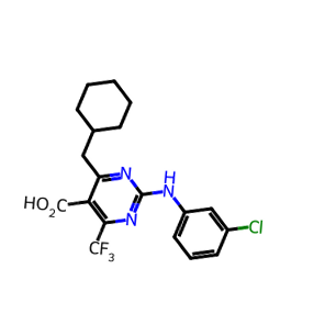 O=C(O)c1c(CC2CCCCC2)nc(Nc2cccc(Cl)c2)nc1C(F)(F)F